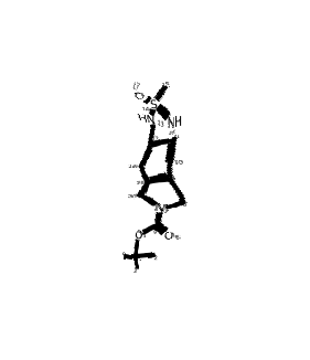 CC(C)(C)OC(=O)N1Cc2ccc(NS(C)(=N)=O)cc2C1